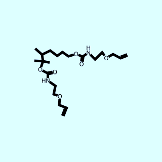 C=CCOCCNC(=O)OCCCCC(C)C(C)(C)OC(=O)NCCOCC=C